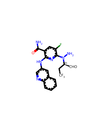 NC(=O)c1cc(F)c(N(N)[C@@H](C=O)CC(F)(F)F)nc1Nc1cnc2ccccc2c1